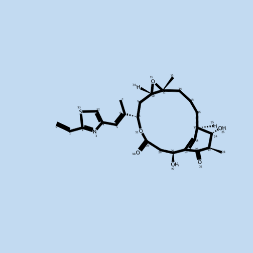 C=Cc1nc(/C=C(\C)[C@@H]2C[C@@H]3O[C@]3(C)CCC[C@@H]3C=C(C(=O)[C@H](C)[C@H]3O)[C@@H](O)CC(=O)O2)cs1